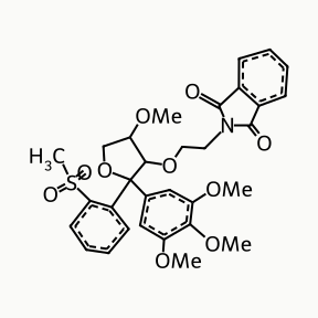 COc1cc(C2(c3ccccc3S(C)(=O)=O)OCC(OC)C2OCCN2C(=O)c3ccccc3C2=O)cc(OC)c1OC